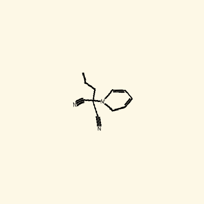 CCCC(C#N)(C#N)N1C=CC=CC1